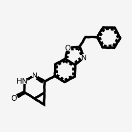 O=C1NN=C(c2ccc3nc(Cc4ccccc4)oc3c2)C2CC12